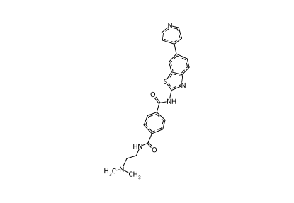 CN(C)CCNC(=O)c1ccc(C(=O)Nc2nc3ccc(-c4ccncc4)cc3s2)cc1